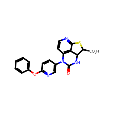 O=C(O)C1Sc2nccc3c2C1NC(=O)N3c1ccc(Oc2ccccc2)nc1